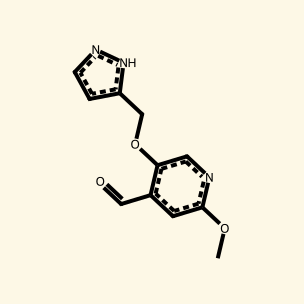 COc1cc(C=O)c(OCc2ccn[nH]2)cn1